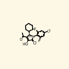 CC(=O)C1=C(O)C(=O)N(c2c(F)cc(Cl)cc2F)[C@@H]1C1CCCCC1